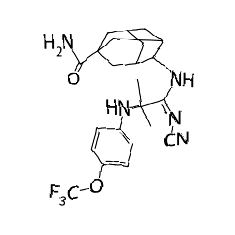 CC(C)(Nc1ccc(OC(F)(F)F)cc1)/C(=N\C#N)NC1C2CC3CC1CC(C(N)=O)(C3)C2